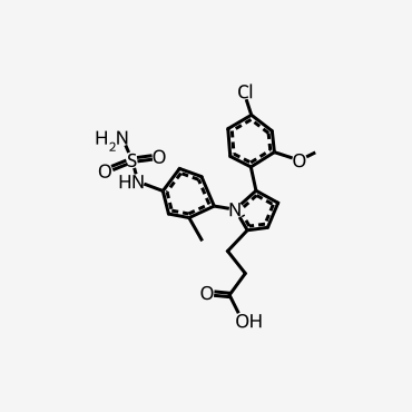 COc1cc(Cl)ccc1-c1ccc(CCC(=O)O)n1-c1ccc(NS(N)(=O)=O)cc1C